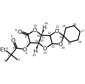 CCC(C)(C)C(=O)OC1C(=O)O[C@@H]2C3OC4(CCCCC4)OC3O[C@H]12